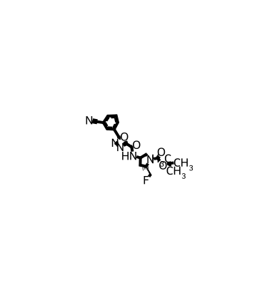 CC(C)(C)OC(=O)N1CC(NC(=O)c2nnc(-c3cccc(C#N)c3)o2)C[C@@H]1CF